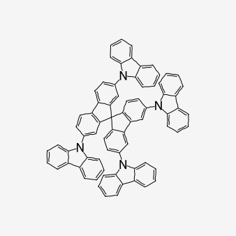 c1ccc2c(c1)c1ccccc1n2-c1ccc2c(c1)-c1cc(-n3c4ccccc4c4ccccc43)ccc1C21c2cc(-n3c4ccccc4c4ccccc43)ccc2-c2ccc(-n3c4ccccc4c4ccccc43)cc21